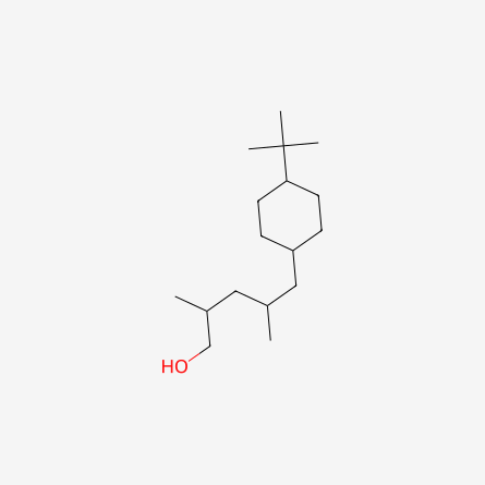 CC(CO)CC(C)CC1CCC(C(C)(C)C)CC1